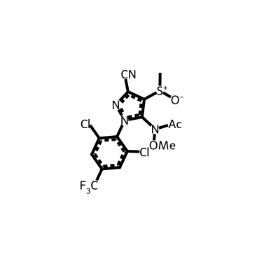 CON(C(C)=O)c1c([S+](C)[O-])c(C#N)nn1-c1c(Cl)cc(C(F)(F)F)cc1Cl